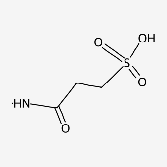 [NH]C(=O)CCS(=O)(=O)O